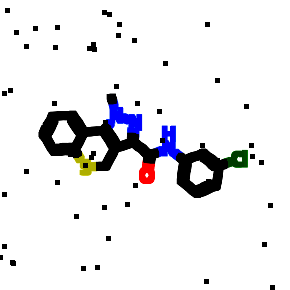 Cn1nc(C(=O)Nc2cccc(Cl)c2)c2c1-c1ccccc1SC2